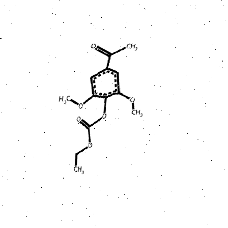 CCOC(=O)Oc1c(OC)cc(C(C)=O)cc1OC